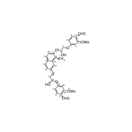 COc1cc(OCC(O)Oc2ccc3ccc(OCC(O)Oc4ccc(C=O)c(OC)c4)cc3c2C)ccc1C=O